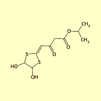 CC(C)OC(=O)CC(=O)C=C1SC(O)C(O)S1